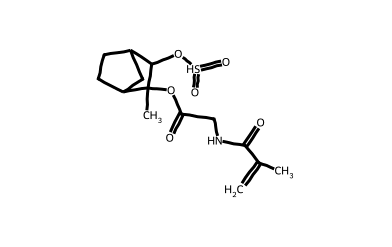 C=C(C)C(=O)NCC(=O)OC1(C)C2CCC(C2)C1O[SH](=O)=O